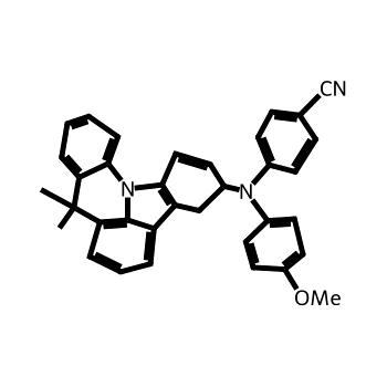 COc1ccc(N(c2ccc(C#N)cc2)C2C=Cc3c(c4cccc5c4n3-c3ccccc3C5(C)C)C2)cc1